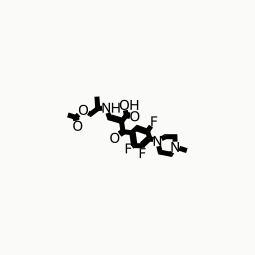 CC(=O)OCC(C)NC=C(C(=O)O)C(=O)c1cc(F)c(N2CCN(C)CC2)c(F)c1F